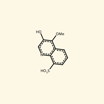 COc1c(O)cnc2c(S(=O)(=O)O)cccc12